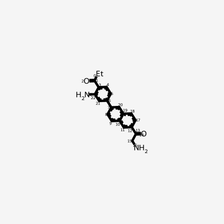 CCC(=O)c1ccc(-c2ccc3cc(C(=O)CN)ccc3c2)cc1N